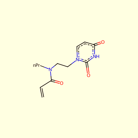 C=CC(=O)N(CCC)CCn1ccc(=O)[nH]c1=O